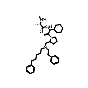 C=C([C@@H](NC(=O)[C@H](C)NC)C1CCCCC1)N1CCCC1CN(CCCCCc1ccccc1)CCc1ccccc1